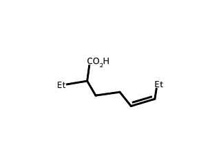 CC/C=C\CCC(CC)C(=O)O